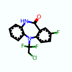 O=C1Nc2ccccc2N(C(F)(F)CCl)c2ccc(F)cc21